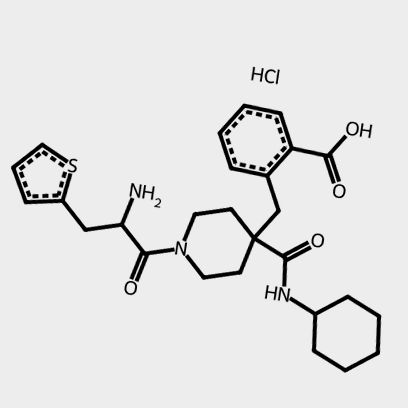 Cl.NC(Cc1cccs1)C(=O)N1CCC(Cc2ccccc2C(=O)O)(C(=O)NC2CCCCC2)CC1